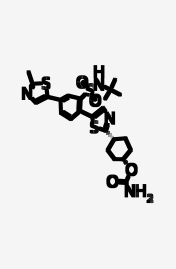 Cc1ncc(-c2ccc(-c3cnc([C@H]4CC[C@H](OC(N)=O)CC4)s3)c(S(=O)(=O)NC(C)(C)C)c2)s1